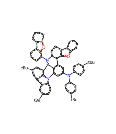 CC(C)(C)c1ccc(N(c2ccc(C(C)(C)C)cc2)c2cc3c4c(c2)-n2c5ccc(C(C)(C)C)cc5c5cc(C(C)(C)C)cc(c52)B4N(c2cccc4c2oc2ccccc24)c2ccc4c(oc5ccccc54)c2-3)cc1